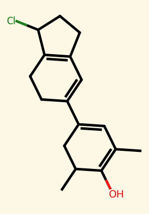 CC1=C(O)C(C)CC(C2=CC3=C(CC2)C(Cl)CC3)=C1